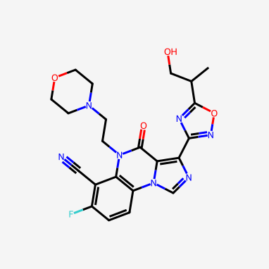 CC(CO)c1nc(-c2ncn3c2c(=O)n(CCN2CCOCC2)c2c(C#N)c(F)ccc23)no1